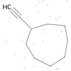 C#CC1CCCCCCC1